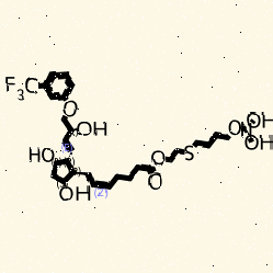 O=C(CCC/C=C\C[C@@H]1[C@@H](/C=C/[C@@H](O)COc2cccc(C(F)(F)F)c2)[C@H](O)C[C@@H]1O)OCCSCCCCON(O)O